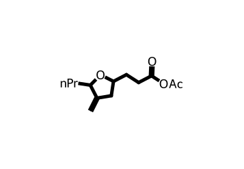 C=C1CC(CCC(=O)OC(C)=O)OC1CCC